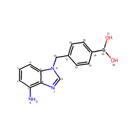 Nc1cccc2c1ncn2Cc1ccc(B(O)O)cc1